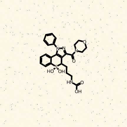 O=C(O)NCCCC1c2c(C(=O)N3CCOCC3)nn(-c3ccccc3)c2-c2ccccc2S1(O)O